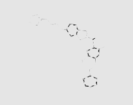 Cc1cc(OCc2ccccc2)c(C(C)C)cc1C(=O)N1Cc2ccc(OCCCN3CCOCC3)cc2C1